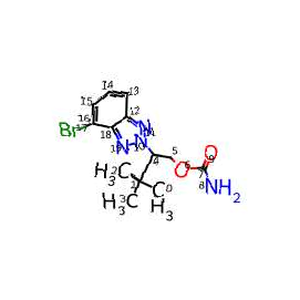 CC(C)(C)C(COC(N)=O)n1nc2cccc(Br)c2n1